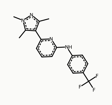 Cc1nn(C)c(C)c1-c1cccc(Nc2ccc(C(F)(F)F)cc2)n1